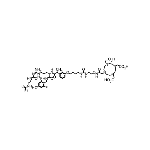 CCC(=O)NCCNC(=O)/N=C(/N)NCCC[C@@H](NC(=O)C(C)c1cccc(OCCCCNC(=O)NCCONC(=O)CN2CCN(CC(=O)O)CCN(CC(=O)O)CCN(CC(=O)O)CC2)c1)C(=O)NCc1c(F)cc(O)cc1F